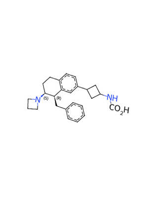 O=C(O)NC1CC(c2ccc3c(c2)[C@@H](Cc2ccccc2)[C@@H](N2CCC2)CC3)C1